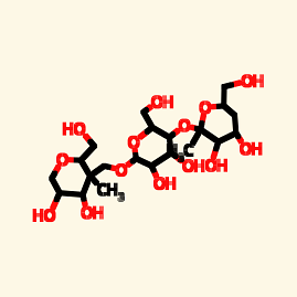 CC1(OC2C(CO)OC(OCC3(C)C(CO)OCC(O)C3O)C(O)C2O)OC(CO)CC(O)C1O